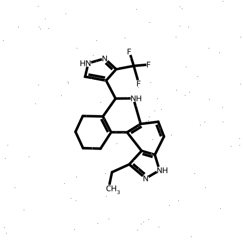 CCc1n[nH]c2ccc3c(c12)C1=C(CCCC1)C(c1c[nH]nc1C(F)(F)F)N3